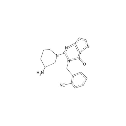 N#Cc1ccccc1Cn1c(N2CCCC(N)C2)nc2ccnn2c1=O